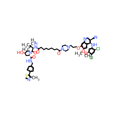 COc1cc(Nc2c(C#N)cnc3cc(OCCCN4CCN(C(=O)CCCCCCCC(=O)N[C@H](C(=O)N5C[C@H](O)C[C@H]5C(=O)NCc5ccc(-c6scnc6C)cc5)C(C)(C)C)CC4)c(OC)cc23)c(Cl)cc1Cl